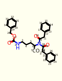 O=C(NCCCC(C(=O)O)N(C(=O)Cc1ccccc1)C(=O)Cc1ccccc1)OCc1ccccc1